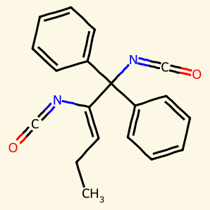 CCC=C(N=C=O)C(N=C=O)(c1ccccc1)c1ccccc1